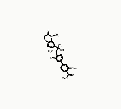 COC(=O)c1ccc(-c2ccc([C@H](C)[C@](O)(c3ccc4c(c3)N(C)C(=O)CO4)C(F)(F)F)c(Cl)c2)cc1OC